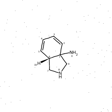 NC12C=CC=C[C@H]1CNC2